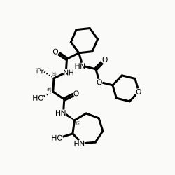 CC(C)[C@H](NC(=O)C1(NC(=O)OC2CCOCC2)CCCCC1)[C@@H](O)C(=O)N[C@H]1CCCCNC1O